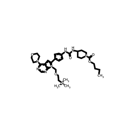 CCCCOC(=O)N1CCC(NC(=O)Nc2ccc(-c3cc4c(N5CCOCC5)ncnc4n3COCC[Si](C)(C)C)cc2)CC1